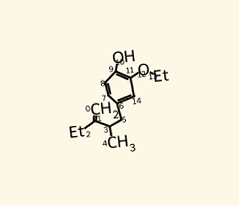 C=C(CC)C(C)Cc1ccc(O)c(OCC)c1